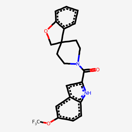 O=C(c1cc2cc(OC(F)(F)F)ccc2[nH]1)N1CCC2(CC1)COc1ccccc12